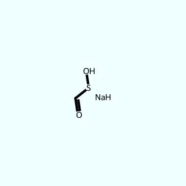 O=CSO.[NaH]